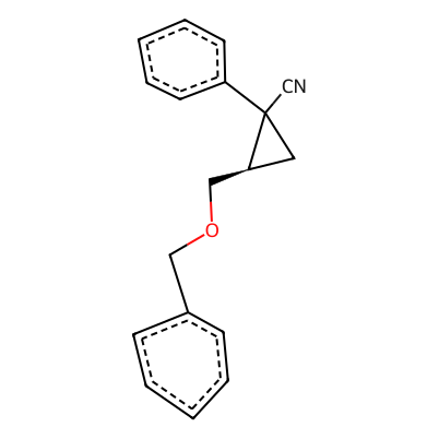 N#CC1(c2ccccc2)C[C@H]1COCc1ccccc1